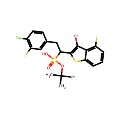 CC(C)C(C)(C)OP(=O)(O)C(Cc1ccc(F)c(F)c1)c1sc2cccc(F)c2c1Br